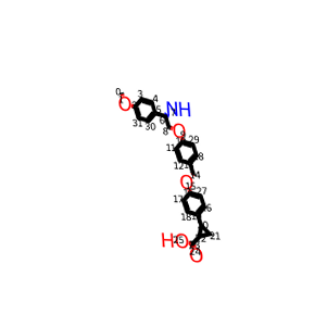 COc1ccc(C(=N)COc2ccc(COc3ccc(C4CC4C(=O)O)cc3)cc2)cc1